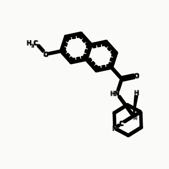 COc1ccc2ccc(C(=O)N[C@H]3CN4CCC3CC4)cc2c1